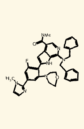 CNC(=O)c1cnc(N(Cc2ccccc2)Cc2ccccc2)c2[nH]c(-c3c(F)cc(-c4nccn4C)cc3N3CCOCC3)cc12